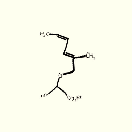 C/C=C\C=C(/C)COC(CCC)C(=O)OCC